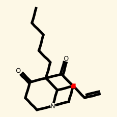 C=CCC1N2CCC(=O)C1(CCCCC)C(=O)CC2